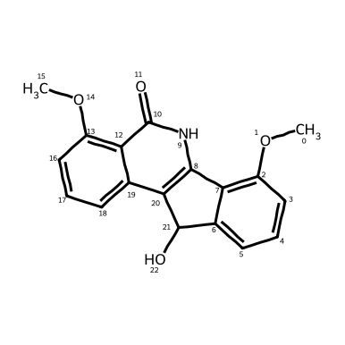 COc1cccc2c1-c1[nH]c(=O)c3c(OC)cccc3c1C2O